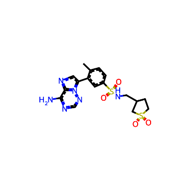 Cc1ccc(S(=O)(=O)NCC2CCS(=O)(=O)C2)cc1-c1cnc2c(N)ncnn12